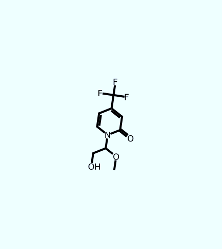 COC(CO)n1ccc(C(F)(F)F)cc1=O